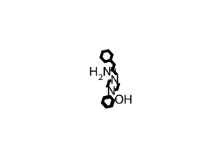 N[C@H](CC1CCCCC1)CN1CCN(c2ccccc2O)CC1